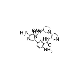 COc1nc(-c2ccc(N)c(C(=O)Nc3cnccc3N3CCC[C@H](N)C3)n2)cnc1N